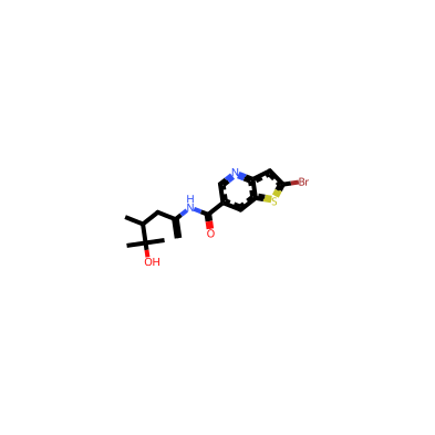 C=C(CC(C)C(C)(C)O)NC(=O)c1cnc2cc(Br)sc2c1